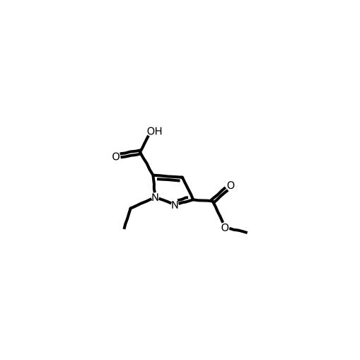 CCn1nc(C(=O)OC)cc1C(=O)O